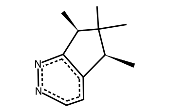 C[C@@H]1c2nnccc2[C@H](C)C1(C)C